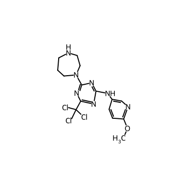 COc1ccc(Nc2nc(N3CCCNCC3)nc(C(Cl)(Cl)Cl)n2)cn1